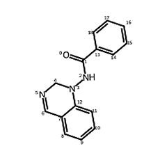 O=C(NN1CN=Cc2ccccc21)c1ccccc1